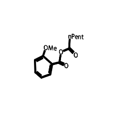 CCCCCC(=O)OC(=O)c1ccccc1OC